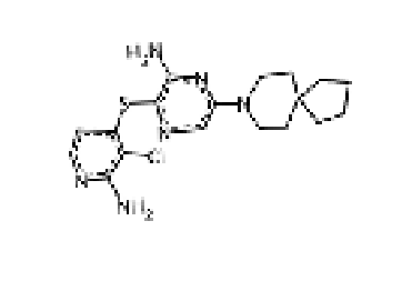 Nc1nc(N2CCC3(CCCC3)CC2)cnc1Sc1ccnc(N)c1Cl